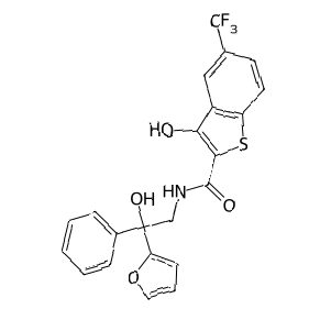 O=C(NCC(O)(c1ccccc1)c1ccco1)c1sc2ccc(C(F)(F)F)cc2c1O